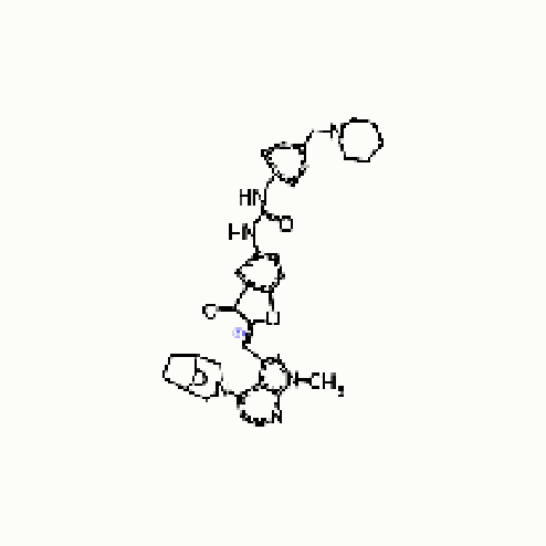 Cn1cc(/C=C2\Oc3ccc(NC(=O)Nc4ccc(CN5CCCCC5)cc4)cc3C2=O)c2c(N3CC4CCC(C3)O4)ccnc21